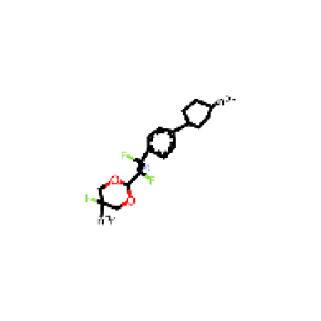 CCCC1CCC(c2ccc(/C(F)=C(\F)C3OCC(F)(CCC)CO3)cc2)CC1